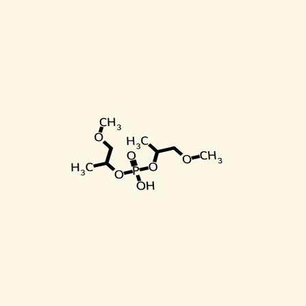 COCC(C)OP(=O)(O)OC(C)COC